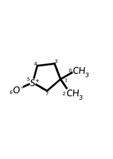 CC1(C)CC[S+]([O-])C1